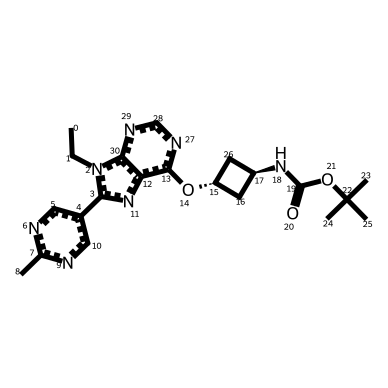 CCn1c(-c2cnc(C)nc2)nc2c(O[C@H]3C[C@H](NC(=O)OC(C)(C)C)C3)ncnc21